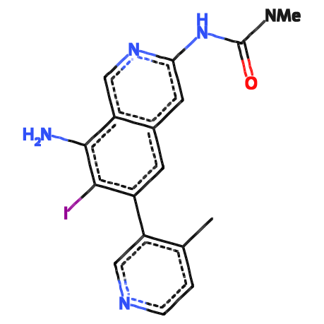 CNC(=O)Nc1cc2cc(-c3cnccc3C)c(I)c(N)c2cn1